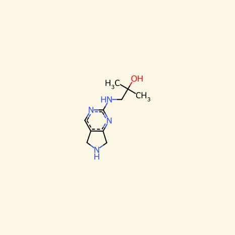 CC(C)(O)CNc1ncc2c(n1)CNC2